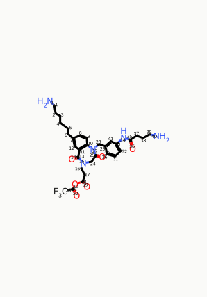 NCCCCCCc1ccc2c(c1)C(=O)N(CCC(=O)OC(=O)C(F)(F)F)CC(=O)N2Cc1cccc(NC(=O)CCCN)c1